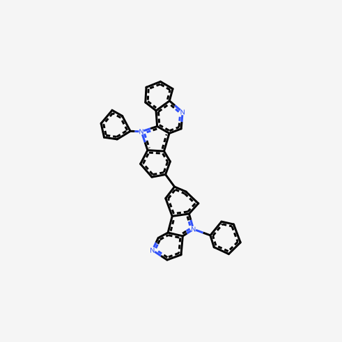 c1ccc(-n2c3ccncc3c3cc(-c4ccc5c(c4)c4cnc6ccccc6c4n5-c4ccccc4)ccc32)cc1